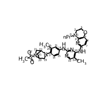 CCCN1CCOc2ccc(Nc3nc(Nc4ccc(N5CC6CC5CN6S(C)(=O)=O)c(C)c4)ncc3C)nc21